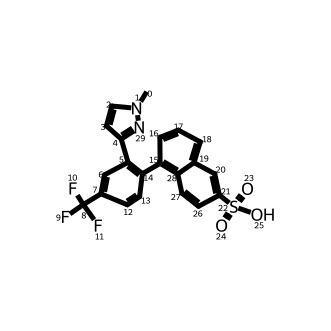 Cn1ccc(-c2cc(C(F)(F)F)ccc2-c2cccc3cc(S(=O)(=O)O)ccc23)n1